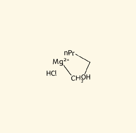 CCCCO.Cl.[CH3][Mg+2]